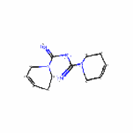 N=C(NC(=N)N1CC=CCC1)N1CC=CCC1